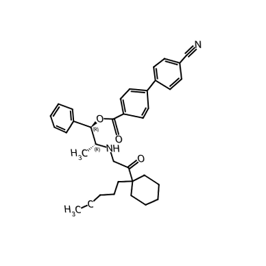 CCCCCC1(C(=O)CN[C@H](C)[C@H](OC(=O)c2ccc(-c3ccc(C#N)cc3)cc2)c2ccccc2)CCCCC1